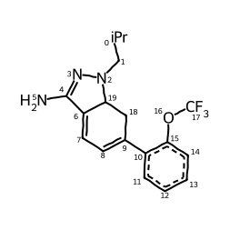 CC(C)CN1N=C(N)C2=CC=C(c3ccccc3OC(F)(F)F)CC21